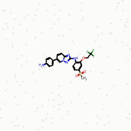 CS(=O)(=O)c1ccc(Nc2nc3ccc(-c4ccc(N)cc4)cn3n2)c(OCC(F)(F)F)c1